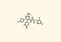 Cn1cc(-c2c(NNC(=O)Cc3ncc(F)cc3F)nc(N)nc2-c2ccc(F)cc2)ccc1=O